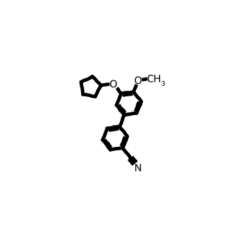 COc1ccc(-c2cccc(C#N)c2)cc1OC1CCCC1